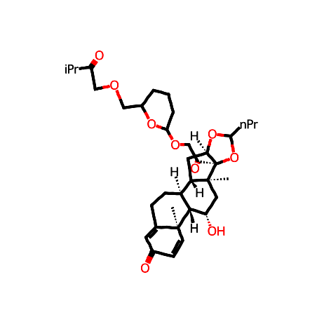 CCCC1O[C@@H]2C[C@H]3[C@@H]4CCC5=CC(=O)C=C[C@]5(C)[C@H]4[C@@H](O)C[C@]3(C)[C@]2(C(=O)COC2CCCC(COCC(=O)C(C)C)O2)O1